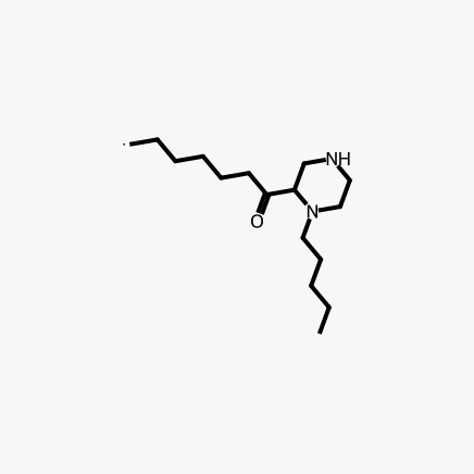 [CH2]CCCCCC(=O)C1CNCCN1CCCCC